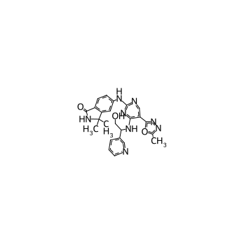 Cc1nnc(-c2cnc(Nc3ccc4c(c3)C(C)(C)NC4=O)nc2NC(CO)c2cccnc2)o1